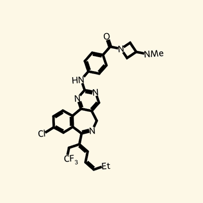 CC/C=C\C=C(/CC(F)(F)F)C1=NCc2cnc(Nc3ccc(C(=O)N4CC(NC)C4)cc3)nc2-c2ccc(Cl)cc21